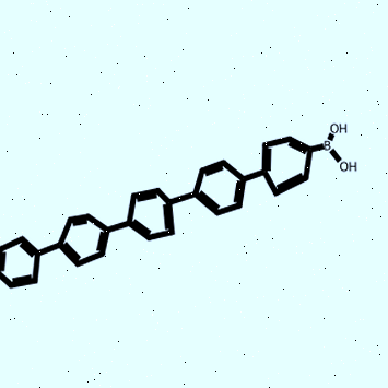 OB(O)c1ccc(-c2ccc(-c3ccc(-c4ccc(-c5ccccc5)cc4)cc3)cc2)cc1